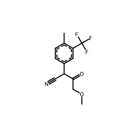 COCC(=O)C(C#N)c1ccc(C)c(C(F)(F)F)c1